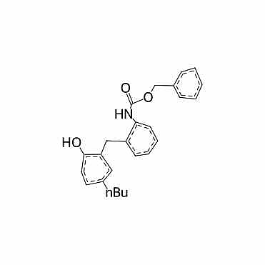 CCCCc1ccc(O)c(Cc2ccccc2NC(=O)OCc2ccccc2)c1